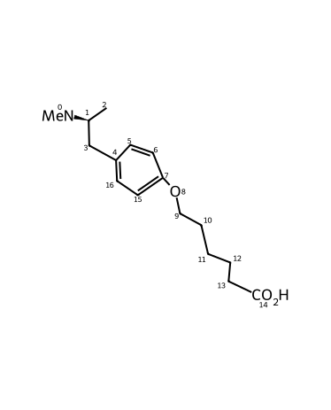 CN[C@@H](C)Cc1ccc(OCCCCCC(=O)O)cc1